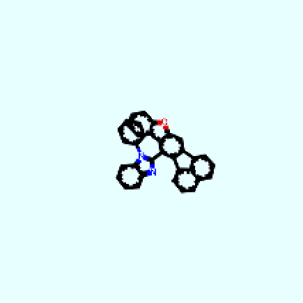 c1ccc(-n2c(-c3c4c(cc5oc6ccccc6c35)-c3cccc5cccc-4c35)nc3ccccc32)cc1